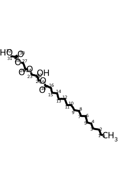 CCCCCCCCCCCCCCCCCC(=O)OCC(O)COC(=O)COC(=O)CO